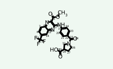 COC(=O)c1nc2ccc(C(F)(F)F)cc2nc1Nc1ccc(C(=O)N2CCC(C(=O)O)C2)cc1